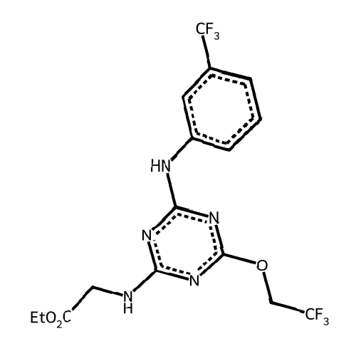 CCOC(=O)CNc1nc(Nc2cccc(C(F)(F)F)c2)nc(OCC(F)(F)F)n1